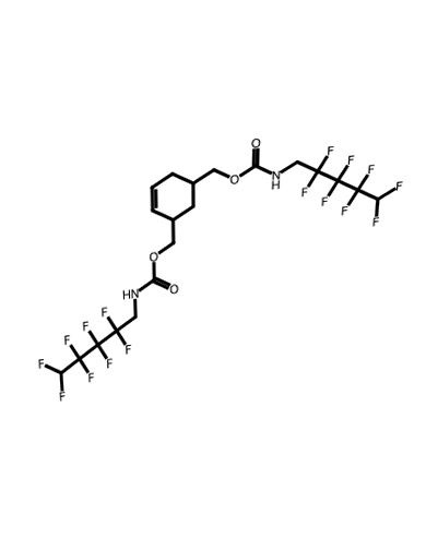 O=C(NCC(F)(F)C(F)(F)C(F)(F)C(F)F)OCC1C=CCC(COC(=O)NCC(F)(F)C(F)(F)C(F)(F)C(F)F)C1